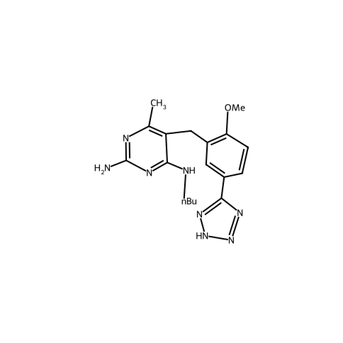 CCCCNc1nc(N)nc(C)c1Cc1cc(-c2nn[nH]n2)ccc1OC